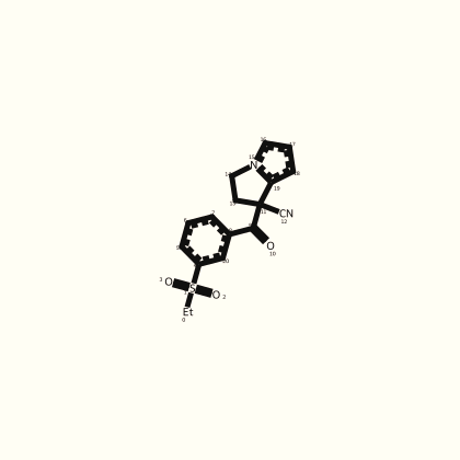 CCS(=O)(=O)c1cccc(C(=O)C2(C#N)CCn3cccc32)c1